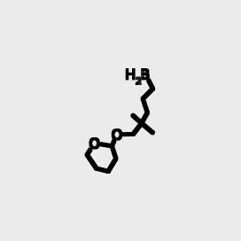 BCCCC(C)(C)COC1CCCCO1